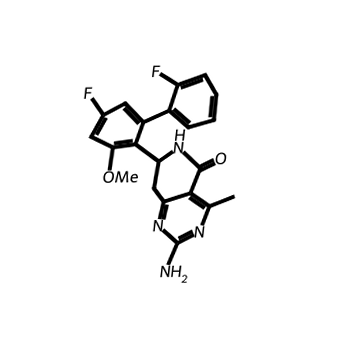 COc1cc(F)cc(-c2ccccc2F)c1C1Cc2nc(N)nc(C)c2C(=O)N1